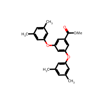 COC(=O)c1cc(Oc2cc(C)cc(C)c2)cc(Oc2cc(C)cc(C)c2)c1